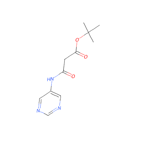 CC(C)(C)OC(=O)CC(=O)Nc1cncnc1